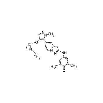 CCN1CC[C@@H]1COc1cnn(C)c1-c1ccn2nc(Nc3cc(C)c(=O)n(C)n3)cc2c1